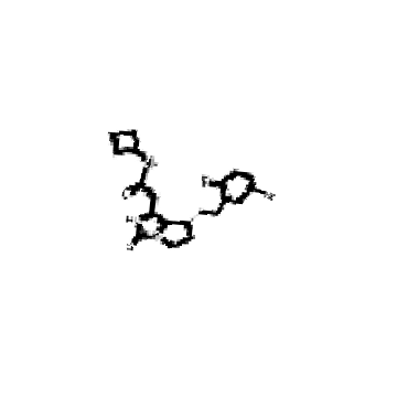 O=C(Cc1[nH]c(=S)n2c1[C@H](CCc1cc(Br)ccc1F)CC2)NC1CCC1